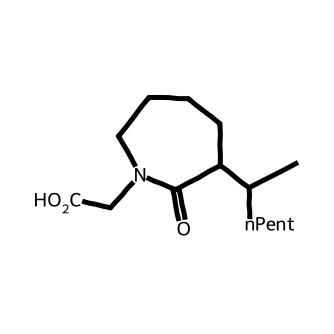 CCCCCC(C)C1CCCCN(CC(=O)O)C1=O